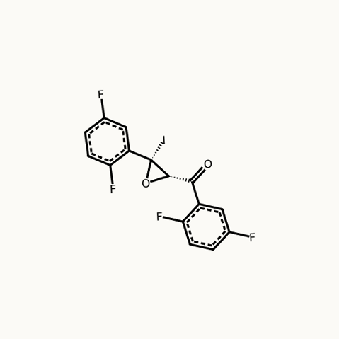 O=C(c1cc(F)ccc1F)[C@@H]1O[C@@]1(I)c1cc(F)ccc1F